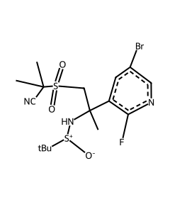 CC(CS(=O)(=O)C(C)(C)C#N)(N[S+]([O-])C(C)(C)C)c1cc(Br)cnc1F